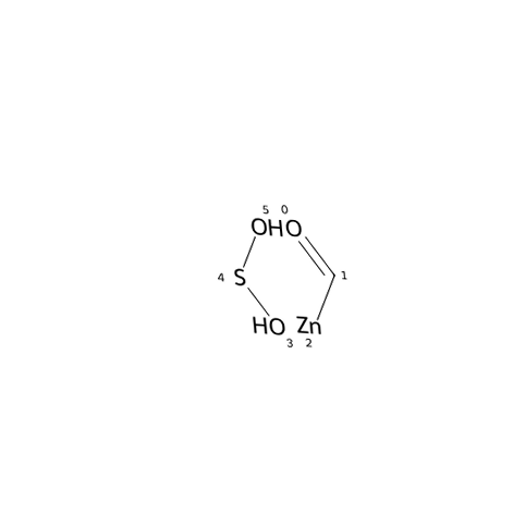 O=[CH][Zn].OSO